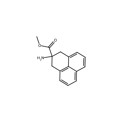 COC(=O)C1(N)Cc2cccc3cccc(c23)C1